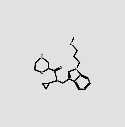 COCCCn1cc(CN(C(=O)C2CNCCO2)C2CC2)c2ccccc21